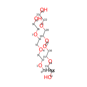 CCCCCCOCCOCCOCCO.OCCOCCOOCCOCCO